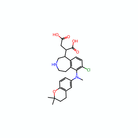 CN(c1ccc2c(c1)CCC(C)(C)O2)c1c(Cl)ccc2c1CCNCC2C(CC(=O)O)C(=O)O